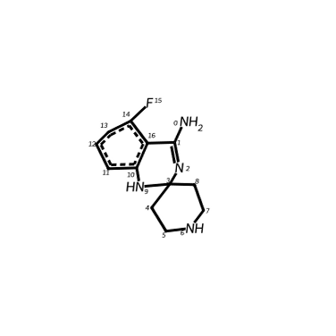 NC1=NC2(CCNCC2)Nc2cccc(F)c21